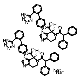 CC1(C(=O)[O-])c2c(ncn2-c2ccc(-c3ccccc3-c3nnn[nH]3)cc2)CCN1C(=O)C(c1ccccc1)c1ccccc1.CC1(C(=O)[O-])c2c(ncn2-c2ccc(-c3ccccc3-c3nnn[nH]3)cc2)CCN1C(=O)C(c1ccccc1)c1ccccc1.[Na+].[Na+]